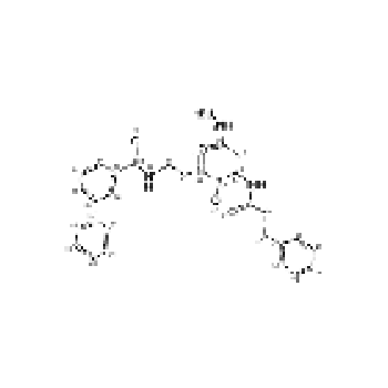 CC(C)(C)NC(=O)C[C@H](NC(=O)CCc1ccccc1)C(=O)NCCNC(=O)c1cccc(-c2ccccc2)c1